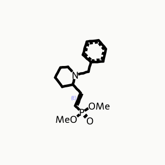 COP(=O)(/C=C/C1CCCCN1Cc1ccccc1)OC